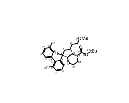 COCCCCC(I)(c1cccc(F)c1-c1cccc(C)c1)[C@@H]1CN(C(=O)OC(C)(C)C)CCO1